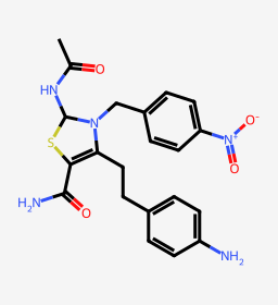 CC(=O)NC1SC(C(N)=O)=C(CCc2ccc(N)cc2)N1Cc1ccc([N+](=O)[O-])cc1